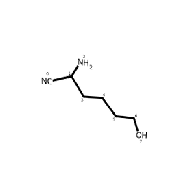 N#CC(N)CCCCO